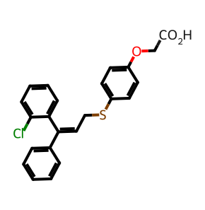 O=C(O)COc1ccc(SCC=C(c2ccccc2)c2ccccc2Cl)cc1